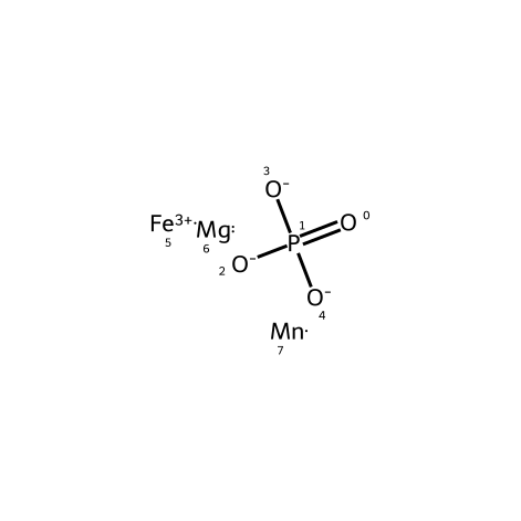 O=P([O-])([O-])[O-].[Fe+3].[Mg].[Mn]